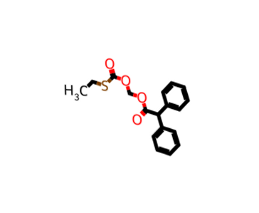 CCSC(=O)OCOC(=O)C(c1ccccc1)c1ccccc1